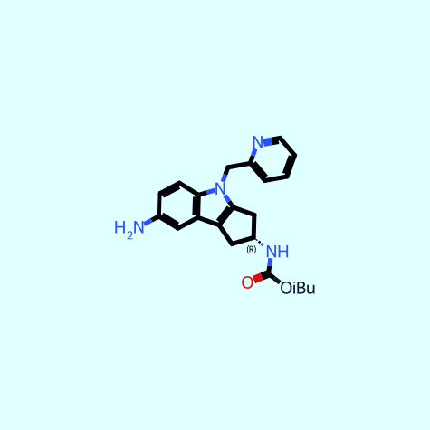 CC(C)COC(=O)N[C@@H]1Cc2c(n(Cc3ccccn3)c3ccc(N)cc23)C1